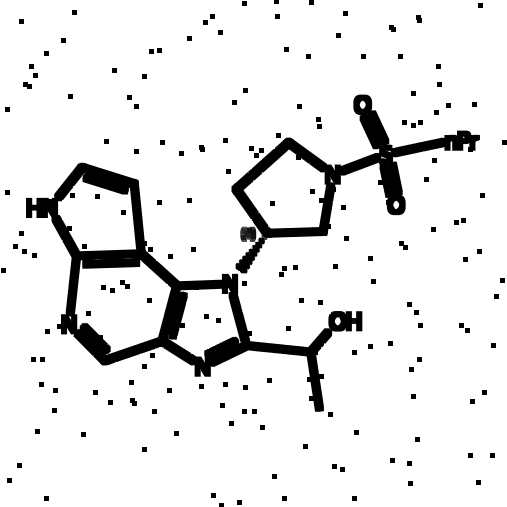 CCCS(=O)(=O)N1CC[C@@H](n2c(C(C)O)nc3cnc4[nH]ccc4c32)C1